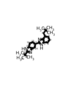 CC(C)(C)Cc1cccc2[nH]c(-c3ccc4[nH]c(C(C)(C)C)nc4c3)nc12